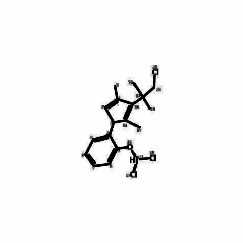 CC1=CC(c2ccccc2[O][Hf]([Cl])[Cl])C(C)=C1C(C)(C)CCl